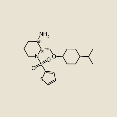 CC(C)[C@H]1CC[C@@H](OC[C@H]2[C@@H](N)CCCN2S(=O)(=O)c2cccs2)CC1